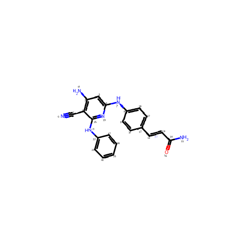 N#Cc1c(N)cc(Nc2ccc(/C=C/C(N)=O)cc2)nc1Nc1ccccc1